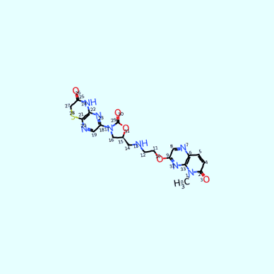 Cn1c(=O)ccc2ncc(OCCNC[C@H]3CN(c4cnc5c(n4)NC(=O)CS5)C(=O)O3)nc21